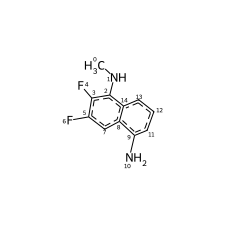 CNc1c(F)c(F)cc2c(N)cccc12